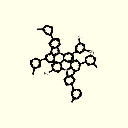 Cc1cccc(-c2ccc3c(c2)c2cc(-c4cccc(C)c4)ccc2n3-c2cc(C#N)ccc2-c2ccc(-c3cc(C(F)(F)F)cc(C(F)(F)F)c3)cc2-n2c3ccc(-c4cccc(C)c4)cc3c3cc(-c4cccc(C)c4)ccc32)c1